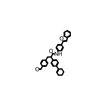 O=Cc1ccc(CC(C(=O)Nc2ccc(-c3cc4ccccc4o3)cc2)c2ccc(C3=CCCCC3)cc2)cc1